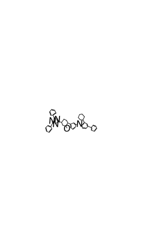 c1ccc(-c2ccc3c(c2)C2CCCCC2N3c2ccc3c(c2)C2CCC(c4nc(-c5ccccc5)nc(-c5ccccc5)n4)CC2O3)cc1